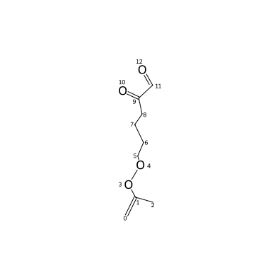 C=C(C)OOCCCCC(=O)C=O